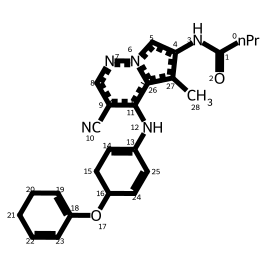 CCCC(=O)Nc1cn2ncc(C#N)c(NC3=CCC(OC4=CCCC=C4)C=C3)c2c1C